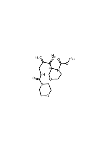 C=C(CNC(=O)N1CCOCC1)C(=C)[C@@H]1COCCN1C(=O)OC(C)(C)C